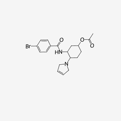 CC(=O)OC1CCC(N2CC=CC2)C(NC(=O)c2ccc(Br)cc2)C1